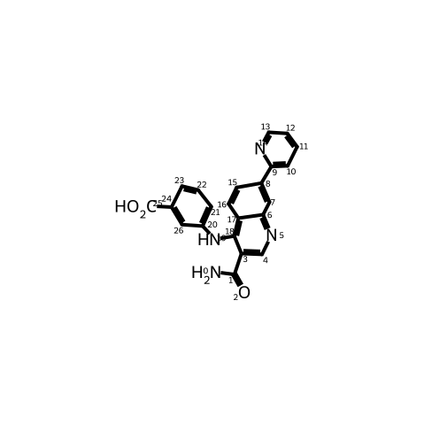 NC(=O)c1cnc2cc(-c3ccccn3)ccc2c1Nc1cccc(C(=O)O)c1